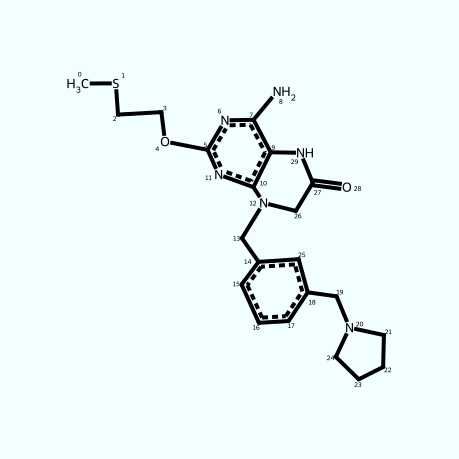 CSCCOc1nc(N)c2c(n1)N(Cc1cccc(CN3CCCC3)c1)CC(=O)N2